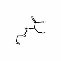 CC[Se]NC(CS)C(=O)O